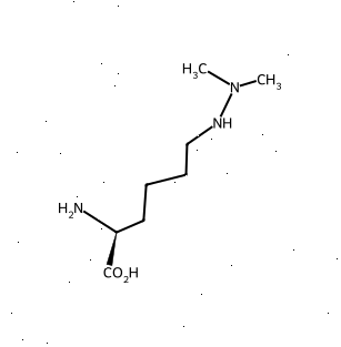 CN(C)NCCCC[C@H](N)C(=O)O